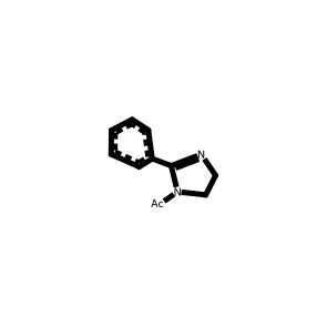 CC(=O)N1CCN=C1c1ccccc1